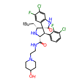 CC(C)(C)C[C@H]1N[C@@H](C(=O)NCCN2CCC(O)CC2)[C@H](c2cccc(Cl)c2F)[C@@]12C(=O)Nc1cc(Cl)c(F)cc12